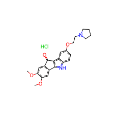 COc1cc2c(cc1OC)-c1[nH]c3ccc(OCCN4CCCC4)cc3c1C2=O.Cl